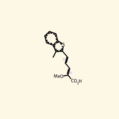 CO/C(=C\C=C\c1sc2ccccc2c1C)C(=O)O